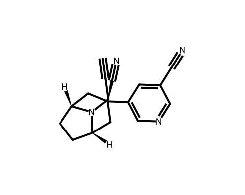 C#CCN1[C@@H]2CC[C@H]1C[C@@](C#N)(c1cncc(C#N)c1)C2